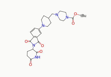 CC(C)(C)OC(=O)N1CCN(CC2CCN(c3ccc4c(c3)C(=O)N(C3CCC(=O)NC3=O)C4=O)CC2)CC1